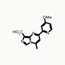 COc1ccnc(-c2cc(C)n3cnc(C(=O)O)c3n2)c1